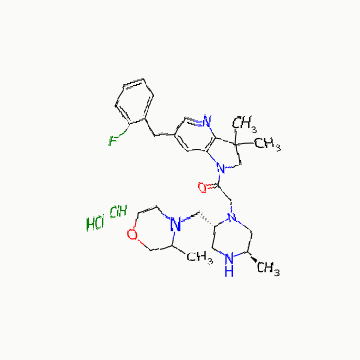 CC1COCCN1C[C@H]1CN[C@H](C)CN1CC(=O)N1CC(C)(C)c2ncc(Cc3ccccc3F)cc21.Cl.Cl